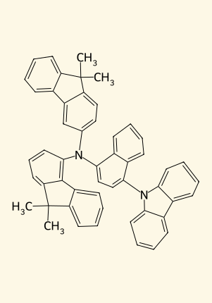 CC1(C)c2ccccc2-c2cc(N(c3cccc4c3-c3ccccc3C4(C)C)c3ccc(-n4c5ccccc5c5ccccc54)c4ccccc34)ccc21